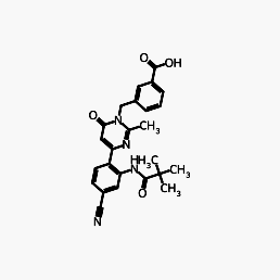 Cc1nc(-c2ccc(C#N)cc2NC(=O)C(C)(C)C)cc(=O)n1Cc1cccc(C(=O)O)c1